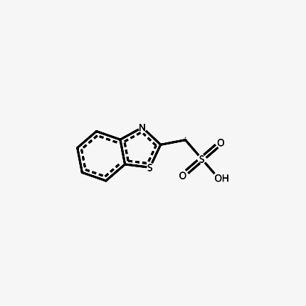 O=S(=O)(O)[CH]c1nc2ccccc2s1